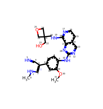 CN/C=C(\C=N)c1ccc(Nc2ncc3ccnc(NCC4(CO)COC4)c3n2)c(OC)c1